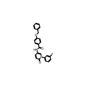 O=C(Nc1ccc(=O)n(-c2cccc(F)c2)c1)c1ccc(OCc2ccccc2)cc1